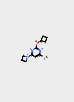 Cc1cc(N2CCC2)nc(OC2CCC2)n1